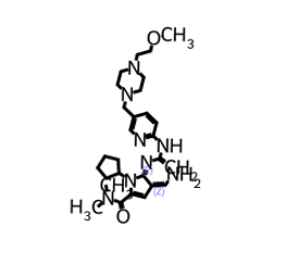 C=C(/N=C1\C(=C/N)C=C(C(=O)N(C)C)N1C1CCCC1)Nc1ccc(CN2CCN(CCOC)CC2)cn1